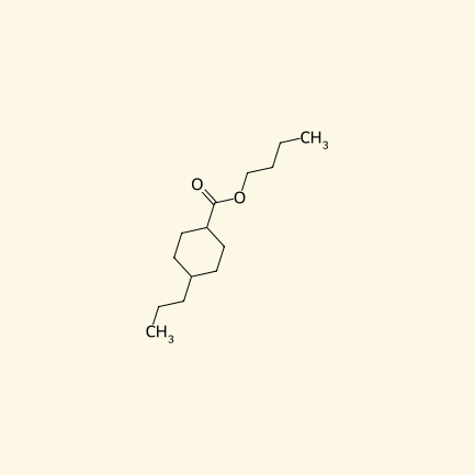 CCCCOC(=O)C1CCC(CCC)CC1